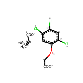 C=CC(=O)[O-].O=C([O-])COc1cc(Cl)c(Cl)cc1Cl.[Mg+2]